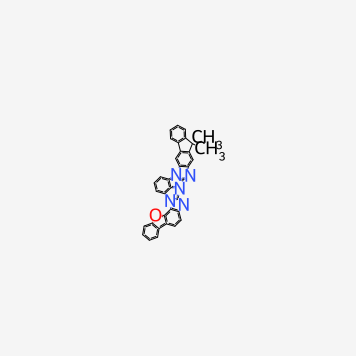 CC1(C)c2ccccc2-c2cc3c(cc21)nc1n3c2cccc3c2n1c1nc2ccc4c5ccccc5oc4c2n31